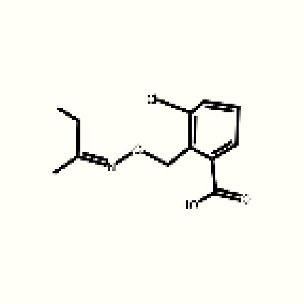 CCC(C)=NOCc1c(Cl)cccc1C(=O)O